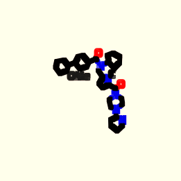 COc1ccccc1-c1ccc(C(=O)N2Cc3ccc(C(=O)N4CCN(c5ccccn5)CC4)n3Cc3ccccc32)cc1